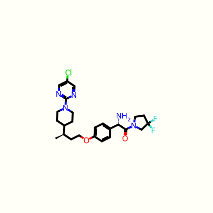 C[C@H](CCOc1ccc([C@H](N)C(=O)N2CCC(F)(F)C2)cc1)C1CCN(c2ncc(Cl)cn2)CC1